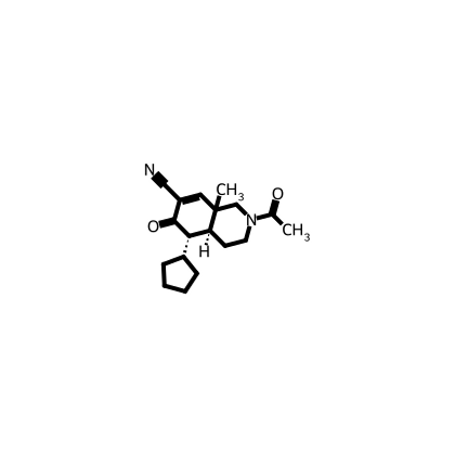 CC(=O)N1CC[C@H]2[C@H](C3CCCC3)C(=O)C(C#N)=CC2(C)C1